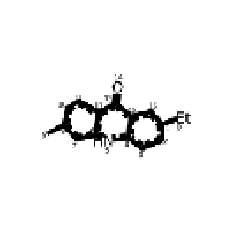 CCc1ccc2[nH]c3cc(C)ccc3c(=O)c2c1